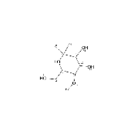 COC1C(CO)OC(C)(C)C(O)C1O